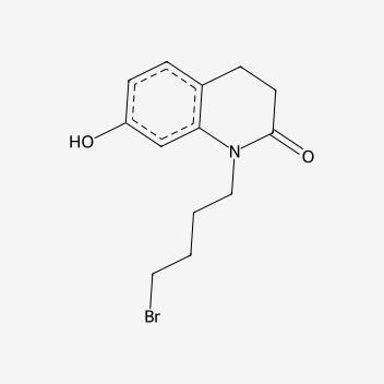 O=C1CCc2ccc(O)cc2N1CCCCBr